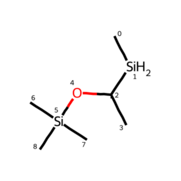 C[SiH2][C](C)O[Si](C)(C)C